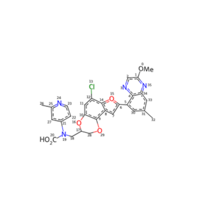 COc1cnc2c(-c3cc4c5c(cc(Cl)c4o3)OC(CN(C(=O)O)c3ccnc(C)c3)CO5)cc(C)cc2n1